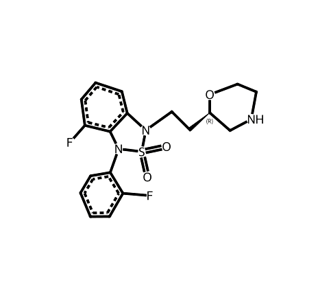 O=S1(=O)N(CC[C@@H]2CNCCO2)c2cccc(F)c2N1c1ccccc1F